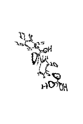 O=C(c1ccc(OC(O)O)cc1)C(O)c1ccccc1